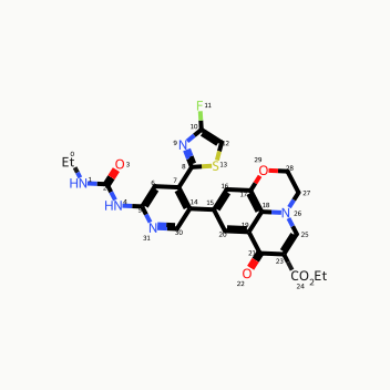 CCNC(=O)Nc1cc(-c2nc(F)cs2)c(-c2cc3c4c(c2)c(=O)c(C(=O)OCC)cn4CCO3)cn1